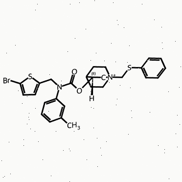 Cc1cccc(N(Cc2ccc(Br)s2)C(=O)O[C@H]2C[N+]3(CSc4ccccc4)CCC2CC3)c1